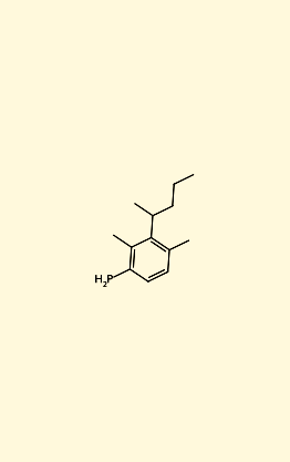 CCCC(C)c1c(C)ccc(P)c1C